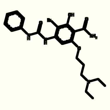 CCN(CC)CCCOc1cc(NC(=O)Nc2ccccc2)c(Br)c(O)c1C(N)=O